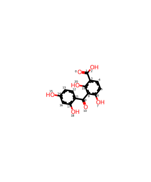 O=C(O)c1ccc(O)c(C(=O)c2ccc(O)cc2O)c1O